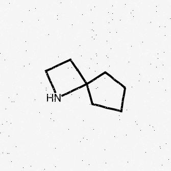 C1CCC2(C1)CCN2